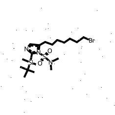 CN(C)S(=O)(=O)n1c(CCCCCCCBr)cnc1[Si](C)(C)C(C)(C)C